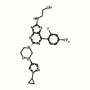 OCCNc1nc2nc([C@H]3CCO[C@H](c4cnn(C5CC5)c4)C3)nc(-c3ccc(C(F)(F)F)cc3F)c2s1